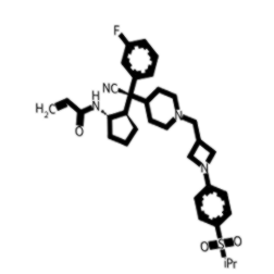 C=CC(=O)N[C@H]1CCC[C@@H]1[C@](C#N)(c1cccc(F)c1)C1CCN(CC2CN(c3ccc(S(=O)(=O)C(C)C)cc3)C2)CC1